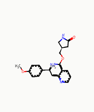 C=C(/C=c1/nccc/c1=C(/N)OC[C@H]1CNC(=O)C1)c1ccc(OC)cc1